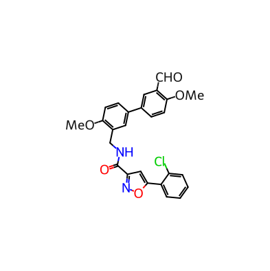 COc1ccc(-c2ccc(OC)c(CNC(=O)c3cc(-c4ccccc4Cl)on3)c2)cc1C=O